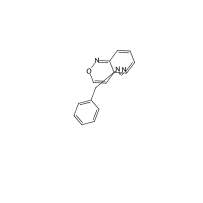 C1=CC2=NOC=CC23C(=C1)N=CN3Cc1ccccc1